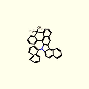 CC1(C)c2ccccc2-c2c3c1cccc3cc1c3c4ccccc4ccc3n(-c3cccc4ccccc34)c21